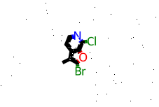 Cc1c(Br)oc2c(Cl)nccc12